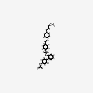 CCCC[C@H]1CC[C@H](CCc2ccc(C(F)(F)Oc3ccccc3-c3ccc(OC(F)F)cc3)cc2)CC1